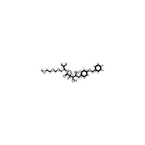 COCCOCOC[C@H](NC(=O)C(F)(F)C(O)C(N)Cc1ccc(OCc2ccccc2)cc1)C(C)C